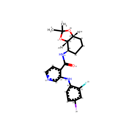 CC1(C)O[C@H]2[C@H](NC(=O)c3ccncc3Nc3ccc(I)cc3F)CCC[C@H]2O1